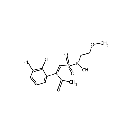 COCCN(C)S(=O)(=O)C=C(C(C)=O)c1cccc(Cl)c1Cl